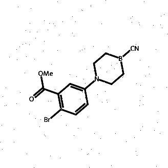 COC(=O)c1cc(N2CCB(C#N)CC2)ccc1Br